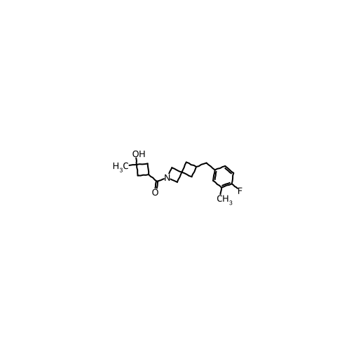 Cc1cc(CC2CC3(C2)CN(C(=O)C2CC(C)(O)C2)C3)ccc1F